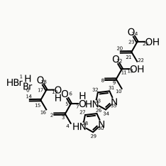 Br.Br.C=C(C)C(=O)O.C=C(C)C(=O)O.C=C(C)C(=O)O.C=C(C)C(=O)O.c1c[nH]cn1.c1c[nH]cn1